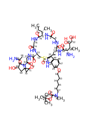 CC[C@H](C)[C@@H]1NC(=O)CNC(=O)[C@@H](NC(=O)[C@@H](N)[C@@H](C)[C@@H](O)CO)Cc2c([nH]c3cc(OCCCCCCN(C)C(=O)OC(C)(C)C)ccc23)[S+]([O-])C[C@@H](C(=O)N[C@@H](CC(N)=O)C(=O)N2C[C@H](O)CC23CC3=O)NC(=O)CNC1=O